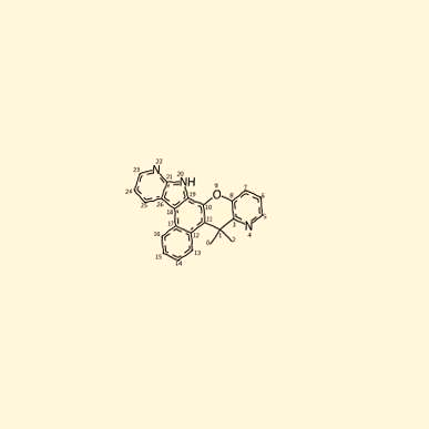 CC1(C)c2ncccc2Oc2c1c1ccccc1c1c2[nH]c2ncccc21